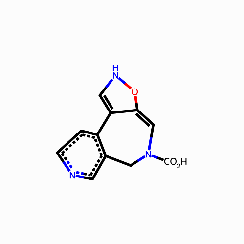 O=C(O)N1C=C2ONC=C2c2ccncc2C1